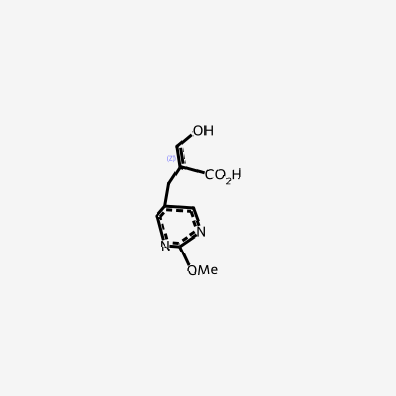 COc1ncc(C/C(=C/O)C(=O)O)cn1